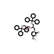 Nc1ccn(CC(COC(c2ccccc2)(c2ccccc2)c2ccccc2)OCC(O)COC(c2ccccc2)(c2ccccc2)c2ccccc2)c(=O)n1